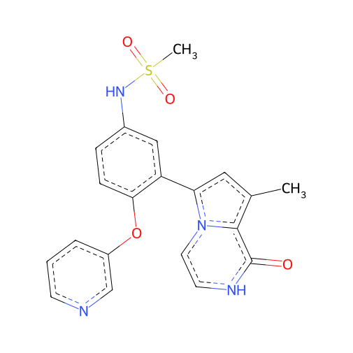 Cc1cc(-c2cc(NS(C)(=O)=O)ccc2Oc2cccnc2)n2cc[nH]c(=O)c12